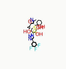 Cc1noc(C2CC2)c1[C@@H]([SH]1C[C@H](O)[C@H](n2cc(-c3cc(F)c(F)c(F)c3)nn2)[C@@H](O)[C@H]1CO)C1(O)CCCCC1